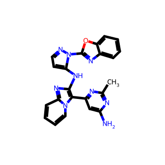 Cc1nc(N)cc(-c2c(Nc3ccnn3-c3nc4ccccc4o3)nc3ccccn23)n1